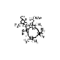 COC(=O)CC[C@@H]1c2nc(cc3[nH]c(cc4nc(cc5[nH]c6c2C(=O)N(Cc2cc(C(F)(F)F)cc(C(F)(F)F)c2)C(=O)c6c5C)C(C)=C4C)c(C(C)C)c3C)[C@H]1C